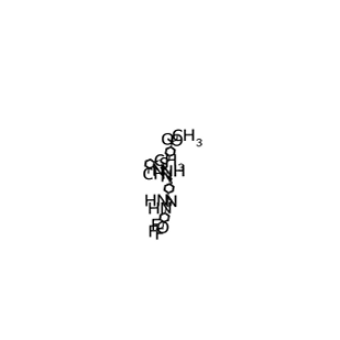 COC(=O)c1ccc(CS/C(=N\c2c(C)cccc2C)N/N=C/c2ccc(C(=N)/N=C\Nc3ccc(OC(F)(F)F)cc3)cc2)cc1